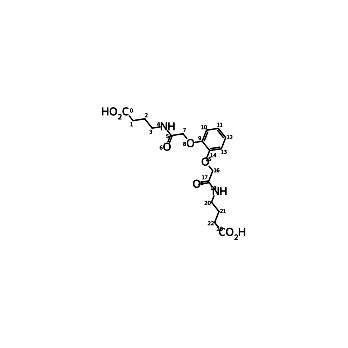 O=C(O)CCCNC(=O)COc1ccccc1OCC(=O)NCCCC(=O)O